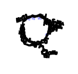 CO[C@H]1C[C@@H]2CC[C@@H](C)[C@@](O)(O2)C(=O)C(=O)N2CCCC[C@H]2C(=O)O[C@H]([C@H](C)C[C@@H]2CC[C@@H](O)[C@H](OC)C2)CC(=O)[C@H](C)/C=C(\C)[C@@H](O)[C@@H](OC)C(=O)[C@H](C)C[C@H](C)/C=C/C=C/C=C/1C.O=C(O)C1NCC2CC21